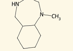 CN1CCNCC2CCCCC21